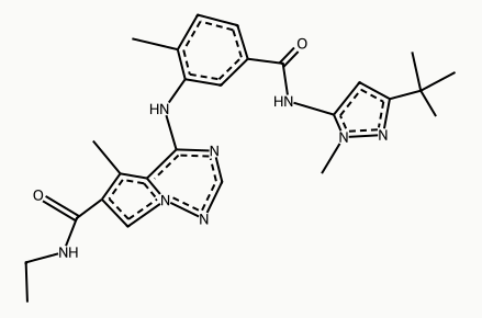 CCNC(=O)c1cn2ncnc(Nc3cc(C(=O)Nc4cc(C(C)(C)C)nn4C)ccc3C)c2c1C